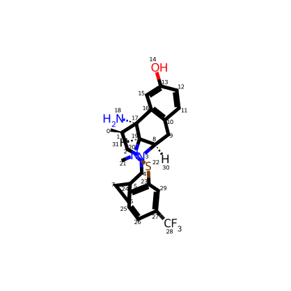 C[C@@H]1CN(CC2CC2)[C@@H]2Cc3ccc(O)cc3[C@@]1(N)[C@@H]2N(C)Sc1cccc(C(F)(F)F)c1